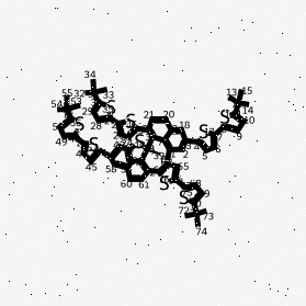 Cc1cc(-c2ccc(-c3ccc(C(C)(C)C)s3)s2)cc2ccc(-c3ccc(-c4ccc(C(C)(C)C)s4)s3)c([C@@]3(C)Sc4cc(-c5ccc(-c6ccc(C(C)(C)C)s6)s5)cc5ccc(-c6ccc(-c7ccc(C(C)(C)C)s7)s6)c3c45)c12